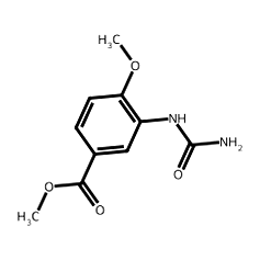 COC(=O)c1ccc(OC)c(NC(N)=O)c1